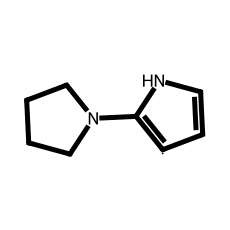 [c]1cc[nH]c1N1CCCC1